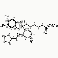 COC(=O)CCCCCC1(c2ccc(Cl)cc2OCC2CCCC2)Nc2cc(F)c(F)cc2N1